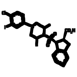 CC1CN(c2ccc(Cl)c(F)c2)CC(C)N1S(=O)(=O)[C@@H]1c2ccccc2C[C@@H]1C(=O)O